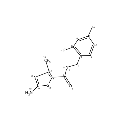 Cc1ccc(CNC(=O)c2sc(N)nc2C(F)(F)F)c(F)c1